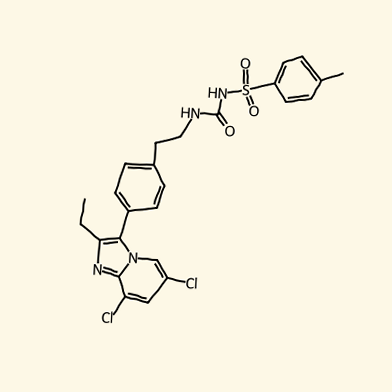 CCc1nc2c(Cl)cc(Cl)cn2c1-c1ccc(CCNC(=O)NS(=O)(=O)c2ccc(C)cc2)cc1